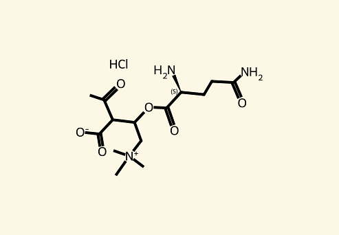 CC(=O)C(C(=O)[O-])C(C[N+](C)(C)C)OC(=O)[C@@H](N)CCC(N)=O.Cl